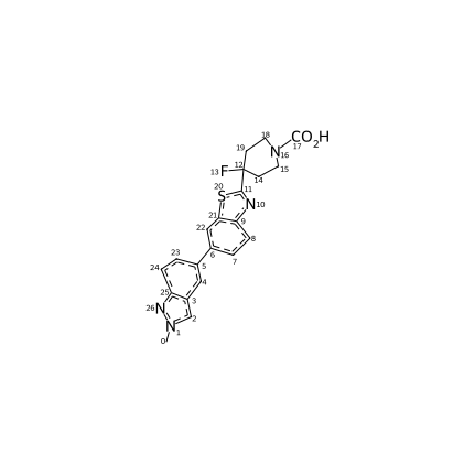 Cn1cc2cc(-c3ccc4nc(C5(F)CCN(C(=O)O)CC5)sc4c3)ccc2n1